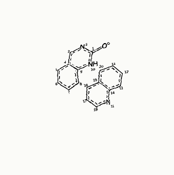 O=c1ncc2ccccc2[nH]1.c1ccc2ncccc2c1